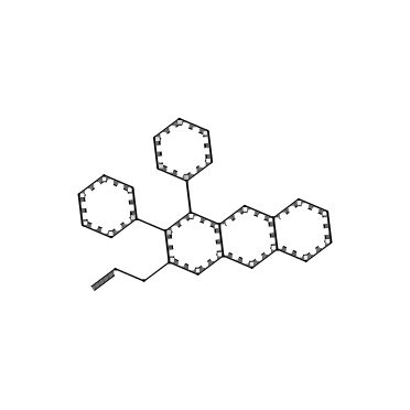 C=CCc1cc2cc3ccccc3cc2c(-c2ccccc2)c1-c1ccccc1